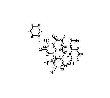 CN1C(=O)c2c(OCc3ccccc3)c(=O)ccn2N([C@H](c2ccccc2)c2cc(F)c(F)cc2O)[C@H]1CCBr